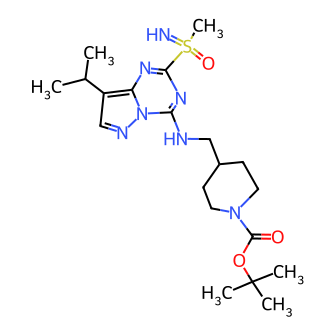 CC(C)c1cnn2c(NCC3CCN(C(=O)OC(C)(C)C)CC3)nc(S(C)(=N)=O)nc12